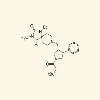 CCN1C(=O)N(C)C(=O)C12CCN(CC1CN(C(=O)CC(C)(C)C)CC1c1ccccc1)CC2